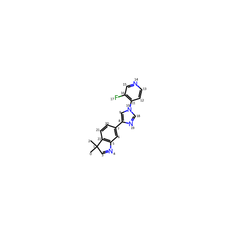 CC1(C)C=Nc2cc(-c3cn(-c4ccncc4F)cn3)ccc21